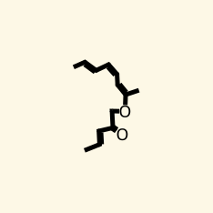 C/C=C/C=C\C=C(/C)OCC(=O)/C=C/C